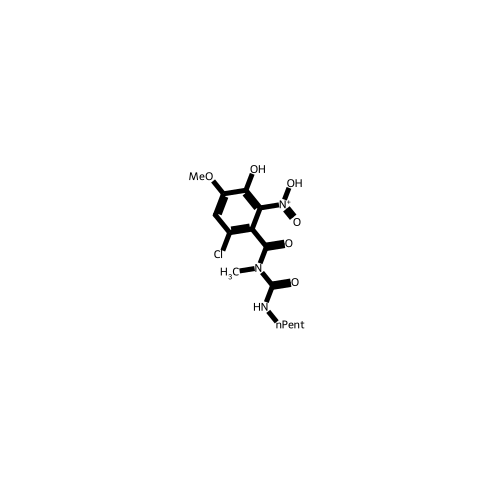 CCCCCNC(=O)N(C)C(=O)c1c(Cl)cc(OC)c(O)c1[N+](=O)O